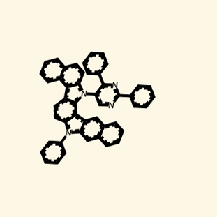 c1ccc(-c2ncc(-n3c4ccc5ccccc5c4c4ccc5c(c6cc7ccccc7cc6n5-c5ccccc5)c43)c(-c3ccccc3)n2)cc1